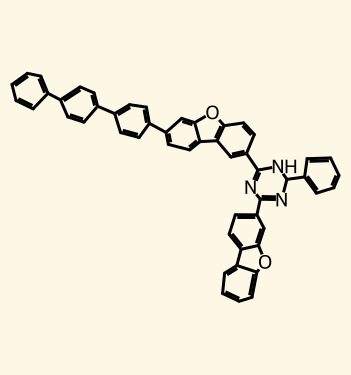 c1ccc(-c2ccc(-c3ccc(-c4ccc5c(c4)oc4ccc(C6=NC(c7ccc8c(c7)oc7ccccc78)=NC(c7ccccc7)N6)cc45)cc3)cc2)cc1